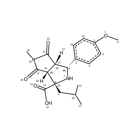 COc1ccc([C@@H]2N[C@](CC(C)C)(C(=O)O)[C@@H]3C(=O)N(C)C(=O)[C@@H]32)cc1